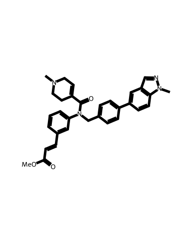 COC(=O)/C=C/c1cccc(N(Cc2ccc(-c3ccc4c(cnn4C)c3)cc2)C(=O)C2=CCN(C)CC2)c1